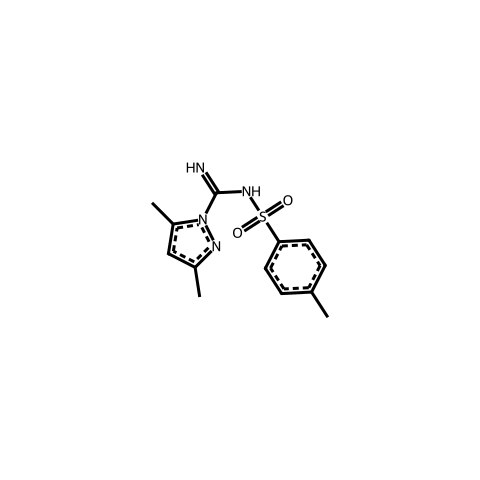 Cc1ccc(S(=O)(=O)NC(=N)n2nc(C)cc2C)cc1